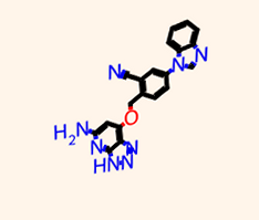 N#Cc1cc(-n2cnc3ccccc32)ccc1COc1cc(N)nc2[nH]nnc12